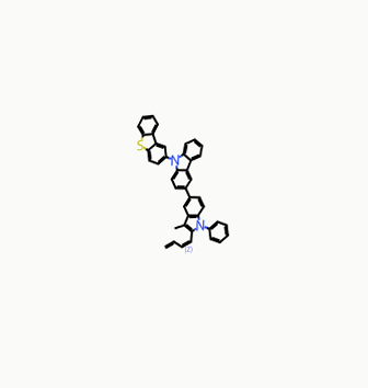 C=C/C=C\c1c(C)c2cc(-c3ccc4c(c3)c3ccccc3n4-c3ccc4sc5ccccc5c4c3)ccc2n1-c1ccccc1